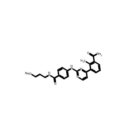 COCCCNC(=O)c1ccc(Nc2nccc(-c3cccc(C(N)=O)c3C)n2)cc1